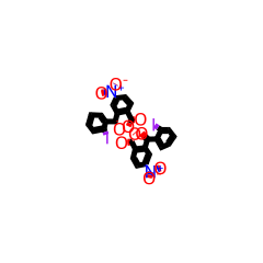 O=C(OOC(=O)c1ccc([N+](=O)[O-])cc1C(=O)c1ccccc1I)c1ccc([N+](=O)[O-])cc1C(=O)c1ccccc1I